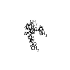 C=CC(=O)N1CC2(CCN(c3nc(OC[C@@H]4CCCN4C)nc(N4CCC[C@H]4C(N)=O)c3C#N)C2)C1